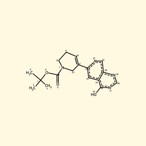 CC(C)(C)OC(=O)N1CCC=C(c2cc3c(O)ncnc3cn2)C1